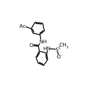 CC(=O)c1cccc(NC(=O)c2ccccc2N[S+](C)[O-])c1